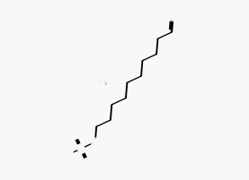 C=CCCCCCCCCCOS(=O)(=O)[O-].[Na+]